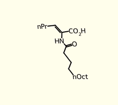 CCCC=C(NC(=O)CCCCCCCCCCC)C(=O)O